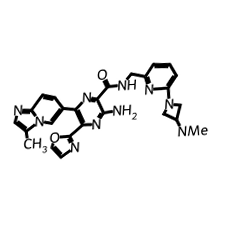 CNC1CN(c2cccc(CNC(=O)c3nc(-c4ccc5ncc(C)n5c4)c(-c4ncco4)nc3N)n2)C1